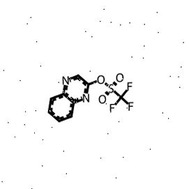 O=S(=O)(Oc1cnc2ccccc2n1)C(F)(F)F